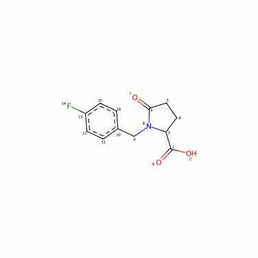 O=C(O)C1CCC(=O)N1Cc1ccc(F)cc1